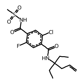 C=CCC(CC)(CC)NC(=O)c1cc(F)c(C(=O)NS(C)(=O)=O)cc1Cl